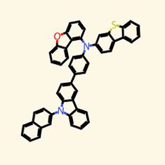 c1ccc2cc(-n3c4ccccc4c4cc(-c5ccc(N(c6ccc7c(c6)sc6ccccc67)c6cccc7oc8ccccc8c67)cc5)ccc43)ccc2c1